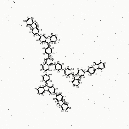 c1ccc2c(c1)oc1cc(-c3ccc4c(c3)c3ccccc3n4-c3ccc(-c4ccc(-c5nc(-c6ccc(-n7c8ccccc8c8cc(-c9ccc%10c(c9)oc9ccccc9%10)ccc87)cc6)nc6ccc(-c7ccc(-n8c9ccccc9c9cc(-c%10ccc%11c(c%10)oc%10ccccc%10%11)ccc98)cc7)cc56)cc4)cc3)ccc12